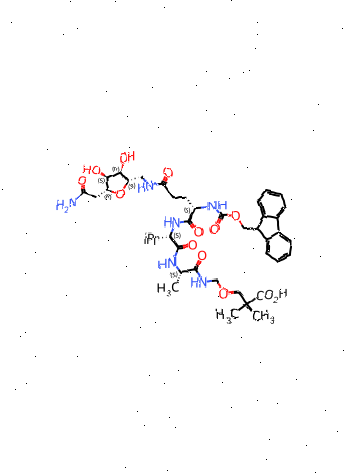 CC(C)[C@H](NC(=O)[C@H](CCC(=O)NC[C@@H]1O[C@H](CC(N)=O)[C@@H](O)[C@H]1O)NC(=O)OCC1c2ccccc2-c2ccccc21)C(=O)N[C@@H](C)C(=O)NCOCC(C)(C)C(=O)O